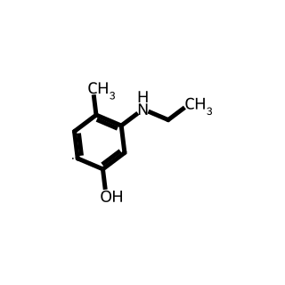 CCNc1cc(O)[c]cc1C